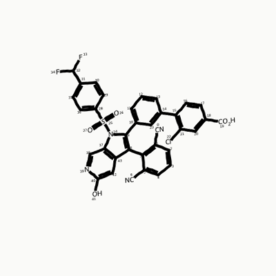 N#Cc1cccc(C#N)c1-c1c(-c2cccc(-c3ccc(C(=O)O)cc3Cl)c2)n(S(=O)(=O)c2ccc(C(F)F)cc2)c2cnc(O)cc12